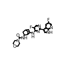 O=C(NC1CC2CC(Nc3nc(-c4c[nH]c5ncc(F)cc45)ncc3F)C1C2)N1CCOCC1